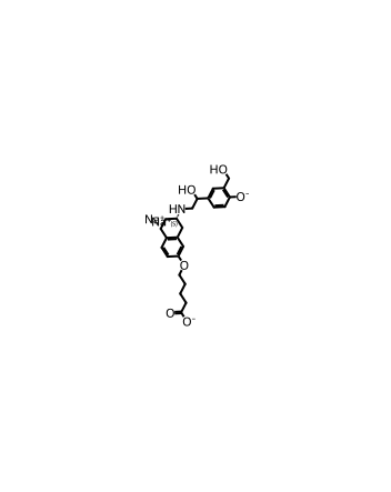 O=C([O-])CCCCOc1ccc2c(c1)C[C@@H](NCC(O)c1ccc([O-])c(CO)c1)CC2.[Na+].[Na+]